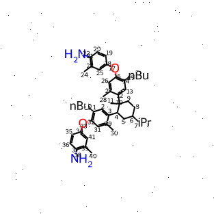 CCCCc1cc(C2CC(C(C)C)CCC2(C)c2cc(CCCC)c(Oc3ccc(N)c(C)c3)cc2C)c(C)cc1Oc1ccc(N)c(C)c1